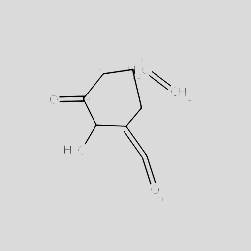 C=C.CC1C(=O)CCCC1=C=O